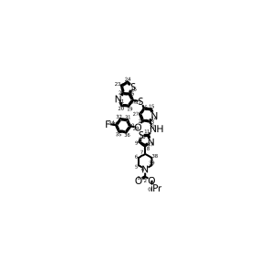 CC(C)OC(=O)N1CCC(c2csc(Nc3ncc(Sc4ccnc5ccsc45)cc3Oc3ccc(F)cc3)n2)CC1